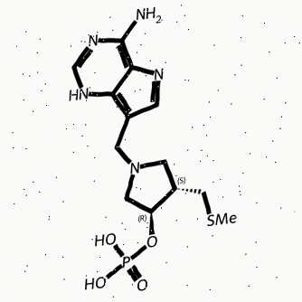 CSC[C@H]1CN(Cc2cnc3c(N)nc[nH]c2-3)C[C@@H]1OP(=O)(O)O